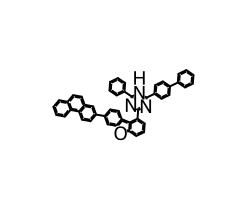 c1ccc(C2=NC(c3cccc4oc5cc(-c6ccc7c(ccc8ccccc87)c6)ccc5c34)=NC(c3ccc(-c4ccccc4)cc3)N2)cc1